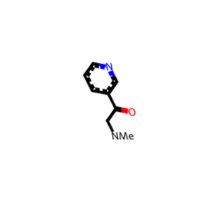 CNCC(=O)c1cccnc1